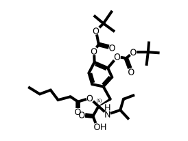 CCCCCC(=O)O[C@](Cc1ccc(OC(=O)OC(C)(C)C)c(OC(=O)OC(C)(C)C)c1)(NC(C)CC)C(=O)O